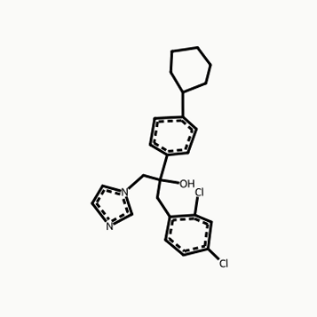 OC(Cc1ccc(Cl)cc1Cl)(Cn1ccnc1)c1ccc(C2CCCCC2)cc1